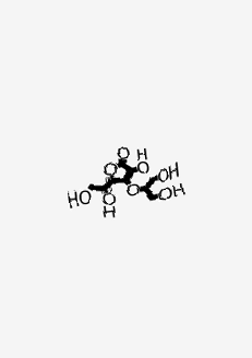 O=C1O[C@H]([C@@H](O)CO)C(OC(CO)CO)=C1O